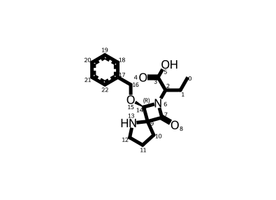 CCC(C(=O)O)N1C(=O)C2(CCCN2)[C@H]1OCc1ccccc1